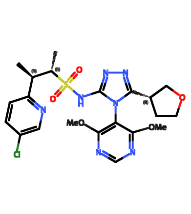 COc1ncnc(OC)c1-n1c(NS(=O)(=O)[C@@H](C)[C@H](C)c2ccc(Cl)cn2)nnc1[C@H]1CCOC1